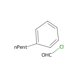 CCCCCc1ccccc1.O=CCl